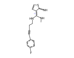 CN/C(NCCC#Cc1ccc(F)cc1)=C1/C=CSC1=N